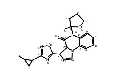 CC1CC1c1noc(C2N=CN3c4ccccc4N(C4(C)CCCO4)C(=O)C23)n1